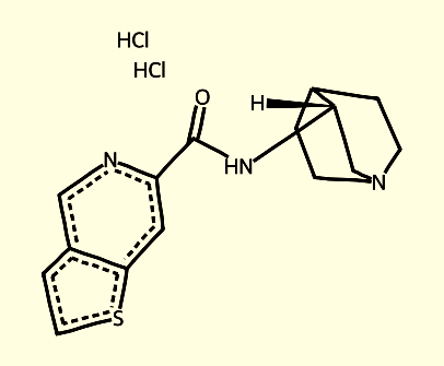 Cl.Cl.O=C(N[C@H]1CN2CCC1CC2)c1cc2sccc2cn1